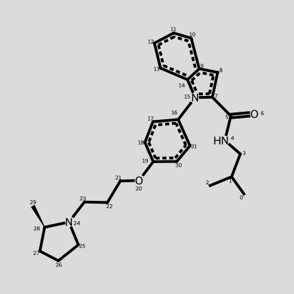 CC(C)CNC(=O)c1cc2ccccc2n1-c1ccc(OCCCN2CCC[C@H]2C)cc1